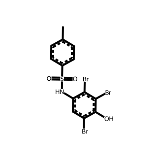 Cc1ccc(S(=O)(=O)Nc2cc(Br)c(O)c(Br)c2Br)cc1